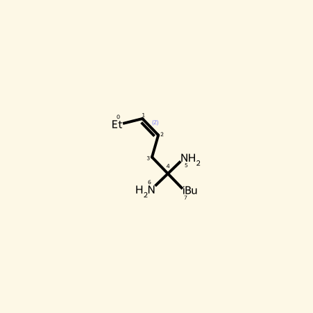 CC/C=C\CC(N)(N)C(C)CC